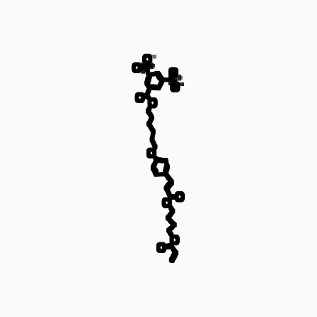 C=CC(=O)OCCCCOC(=O)/C=C/c1ccc(OCCCCCCOC(=O)c2cc([N+](=O)[O-])cc([N+](=O)[O-])c2)cc1